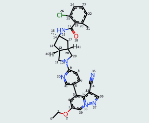 CCOc1cc(-c2ccc(N3C[C@@H]4C[C@@](C)(NC(=O)c5c(C)cccc5Cl)C[C@@H]4C3)nc2)c2c(C#N)cnn2c1